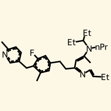 CC/C=C/N=C(\C=C(/C)N(CCC)C(CC)CC)CCc1cc(C)c(Cc2ccc(C)nc2)c(F)c1